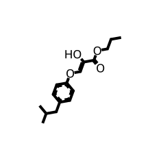 CCCOC(=O)C(O)=COc1ccc(CC(C)C)cc1